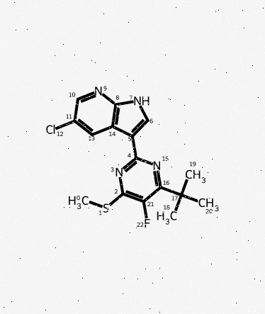 CSc1nc(-c2c[nH]c3ncc(Cl)cc23)nc(C(C)(C)C)c1F